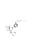 CCC(CC)C12C(CNN1C(C)C)C(C(=O)N1CCSCC1)CC(c1cccc(CN(C)CCNC)c1)N2C